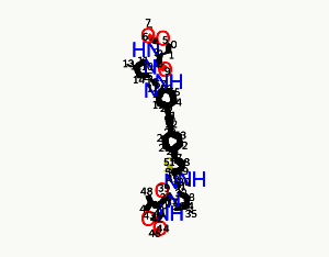 CC[C@H](NC(=O)OC)C(=O)N1C[C@@H](C)C[C@H]1c1nc2cc(C#Cc3ccc(-c4cc5[nH]c([C@@H]6C[C@H](C)CN6C(=O)[C@@H](NC(=O)OC)C(C)C)nc5s4)cc3)ccc2[nH]1